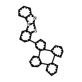 c1ccc2c(c1)-c1ccccc1-c1ccc(-c3cccc4c3sc3nc5ccccc5n34)cc1-c1ccccc1-2